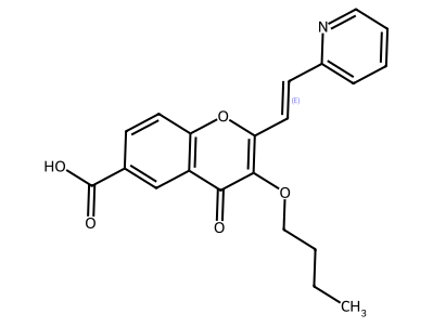 CCCCOc1c(/C=C/c2ccccn2)oc2ccc(C(=O)O)cc2c1=O